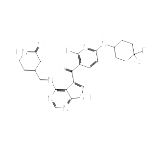 O=C1CC(CNc2ncnc3[nH]cc(C(=O)c4ccc(NC5CCC(F)(F)CC5)nc4F)c23)CCN1